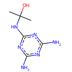 CC(C)(O)Nc1nc(N)nc(N)n1